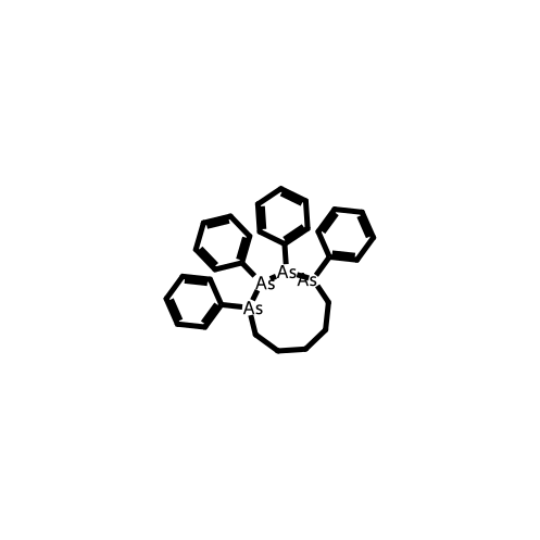 c1ccc([As]2CCCCC[As](c3ccccc3)[As](c3ccccc3)[As]2c2ccccc2)cc1